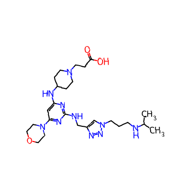 CC(C)NCCCn1cc(CNc2nc(NC3CCN(CCC(=O)O)CC3)cc(N3CCOCC3)n2)nn1